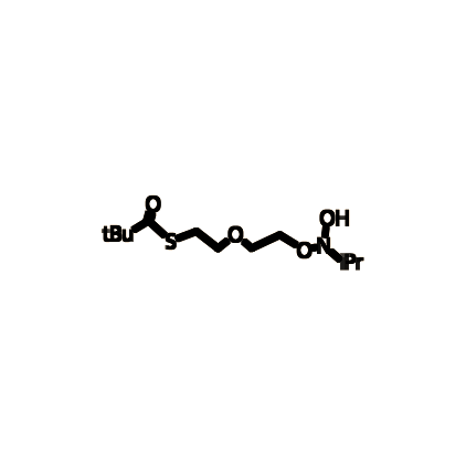 CC(C)N(O)OCCOCCSC(=O)C(C)(C)C